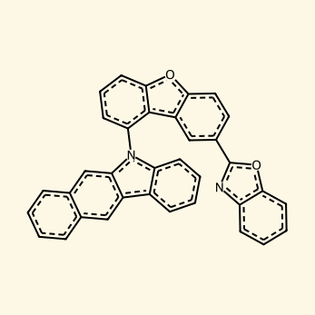 c1ccc2cc3c(cc2c1)c1ccccc1n3-c1cccc2oc3ccc(-c4nc5ccccc5o4)cc3c12